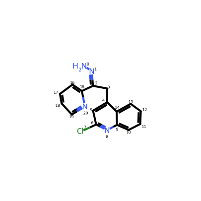 N/N=C(/Cc1cc(Cl)nc2ccccc12)c1ccccn1